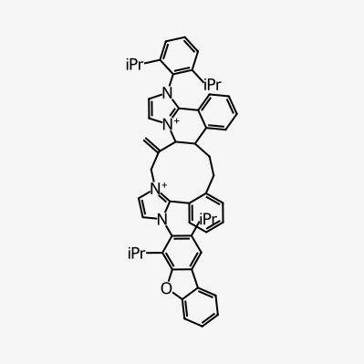 C=C1C[n+]2ccn(-c3c(C(C)C)cc4c(oc5ccccc54)c3C(C)C)c2-c2ccccc2CCC2c3ccccc3-c3n(-c4c(C(C)C)cccc4C(C)C)cc[n+]3C12